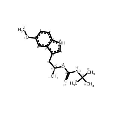 COc1ccc2[nH]cc(C[C@H](C)OC(=O)NC(C)(C)C)c2c1